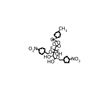 Cc1ccc(S(=O)(=O)OC(=O)C(F)(F)[C@@](O)(OCc2ccc([N+](=O)[O-])cc2)[C@H](O)C(O)OCc2ccc([N+](=O)[O-])cc2)cc1